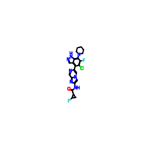 O=C(Nc1cn2cc(-c3c(Cl)c(F)c(N4CCCCC4)c4[nH]ncc34)ncc2n1)C1CC1F